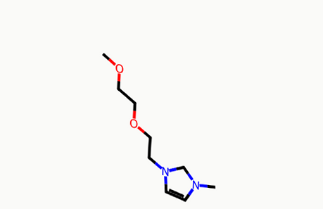 COCCOCCN1C=CN(C)C1